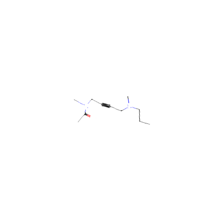 CCCN(C)CC#CCN(C)C(C)=O